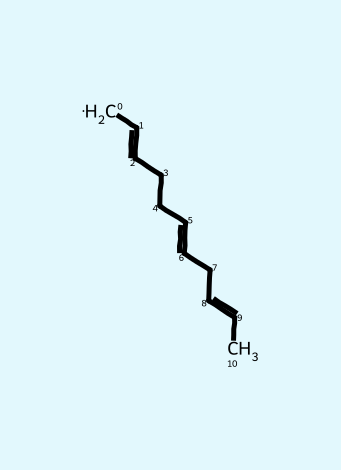 [CH2]/C=C/CC/C=C/C/C=C/C